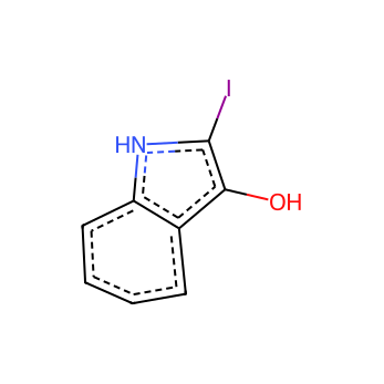 Oc1c(I)[nH]c2ccccc12